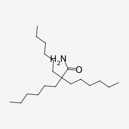 CCCCCCC(CCCCCC)(CCCCCC)C(N)=O